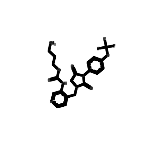 CCCCOC(=O)Nc1cnccc1CN1CC(=O)N(c2ccc(OC(F)(F)F)cc2)C1=O